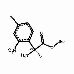 Cc1ccc([C@](C)(N)C(=O)OC(C)(C)C)c([N+](=O)[O-])c1